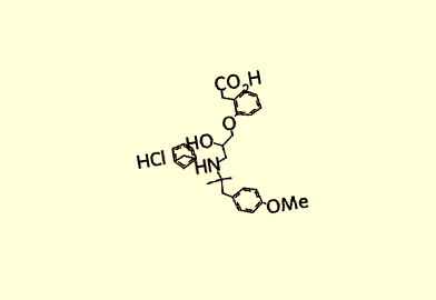 COc1ccc(CC(C)(C)NCC(O)COc2ccccc2CC(=O)O)cc1.Cl.c1cc2cc(c1)C2